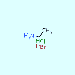 Br.CCN.Cl